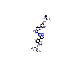 CN(C)CCNc1cc(F)cc(-c2ccnc3[nH]c(-c4n[nH]c5ccc(-c6cncc(OCCN(C)C)c6)nc45)nc23)c1